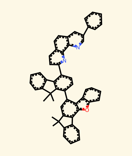 CC1(C)c2ccccc2-c2c1cc(-c1ccc(-c3ccc4ccc5cc(-c6ccccc6)cnc5c4n3)c3c1C(C)(C)c1ccccc1-3)c1c2oc2ccccc21